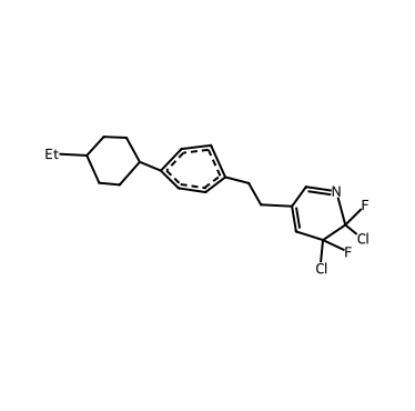 CCC1CCC(c2ccc(CCC3=CC(F)(Cl)C(F)(Cl)N=C3)cc2)CC1